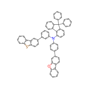 c1ccc(C2(c3ccccc3)c3ccccc3-c3c(N(c4ccc(-c5ccc6c(c5)oc5ccccc56)cc4)c4cccc(-c5ccc6sc7ccccc7c6c5)c4)cccc32)cc1